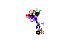 COCC1=C(C(=O)OC)[C@H](c2ccc(F)c(F)c2)N(C(=O)NCCNC2CCN(c3ccccc3S(C)(=O)=O)CC2)C(=O)N1